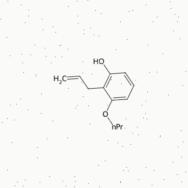 C=CCc1c(O)cccc1OCCC